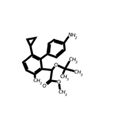 COC(=O)C(OC(C)(C)C)c1c(C)ccc(C2CC2)c1-c1ccc(N)cc1